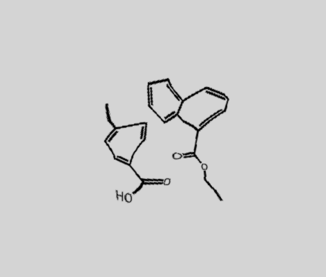 CCOC(=O)c1cccc2ccccc12.Cc1ccc(C(=O)O)cc1